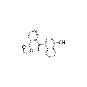 N#Cc1ccc(C(=O)c2cnccc2C2OCCO2)c2ccccc12